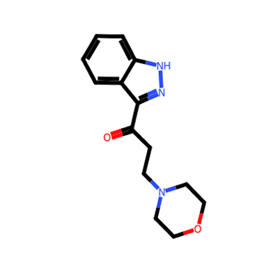 O=C(CCN1CCOCC1)c1n[nH]c2ccccc12